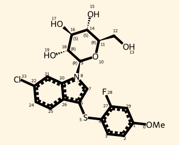 COc1ccc(Sc2cn([C@@H]3O[C@H](CO)[C@@H](O)[C@H](O)[C@H]3O)c3cc(Cl)ccc23)c(F)c1